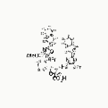 CC(C)c1oc(-c2ccc3ccccc3c2)nc1CI.COC(c1nc(-c2ccc3ccccc3c2)oc1C(C)C)[C@H]1CCC[C@@H](COC(C)(C)C(=O)O)C1